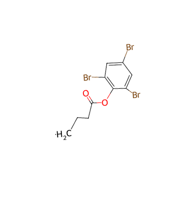 [CH2]CCC(=O)Oc1c(Br)cc(Br)cc1Br